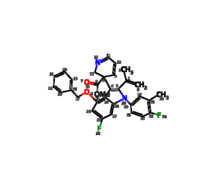 C=C(C)c1c(C2(C(=O)OC)C=CC=NC2)c2c(OCc3ccccc3)cc(F)cc2n1-c1ccc(F)c(C)c1